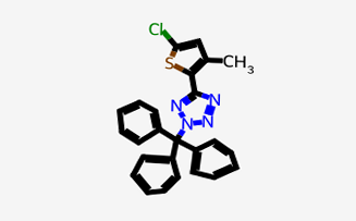 Cc1cc(Cl)sc1-c1nnn(C(c2ccccc2)(c2ccccc2)c2ccccc2)n1